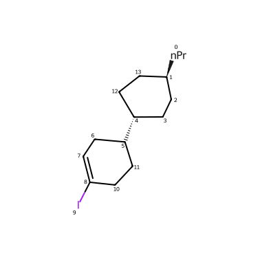 CCC[C@H]1CC[C@H](C2CC=C(I)CC2)CC1